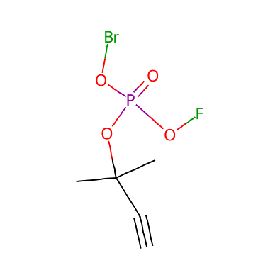 C#CC(C)(C)OP(=O)(OF)OBr